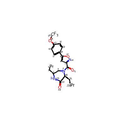 CC(C)CC1CN(C(=O)c2cc(-c3ccc(OC(F)(F)F)cc3)on2)C(CC(C)C)C(=O)N1